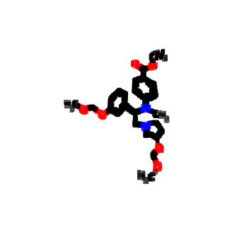 COCOc1cccc([C@H](CN2CC[C@H](OCOC)C2)N(C)c2ccc(C(=O)OC)cc2)c1